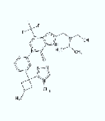 CCN(Cc1cc2c(C(F)(F)F)cn(-c3cccc(C4(c5nncn5C)CC(C)C4)c3)c(=O)c2[nH]1)C(C)C